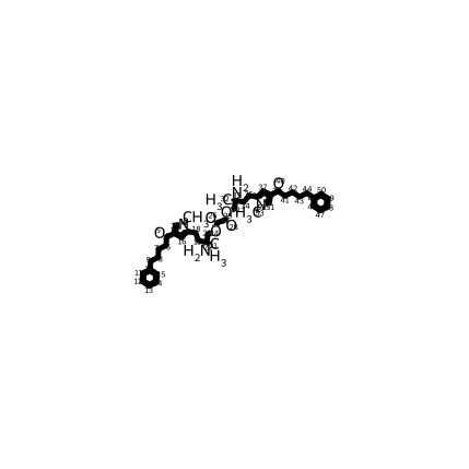 Cn1cc(C(=O)CCCCc2ccccc2)cc1CC[C@@](C)(N)COC(=O)C(=O)OC[C@](C)(N)CCc1cc(C(=O)CCCCc2ccccc2)cn1C